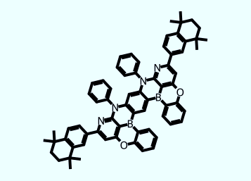 CC1(C)CCC(C)(C)c2cc(-c3cc4c5c(n3)N(c3ccccc3)c3cc6c(cc3B5c3ccccc3O4)B3c4ccccc4Oc4cc(-c5ccc7c(c5)C(C)(C)CCC7(C)C)nc(c43)N6c3ccccc3)ccc21